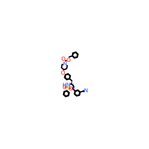 N#Cc1cccc(/C=C/[C@H](Cc2ccc(OC3CCN(C(=O)OCc4ccccc4)CC3)cc2)NS(=O)(=O)c2ccccc2)c1